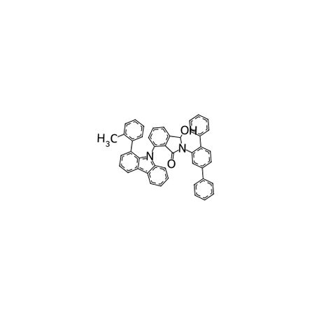 Cc1ccccc1-c1cccc2c3ccccc3n(-c3cccc4c3C(=O)N(c3cc(-c5ccccc5)ccc3-c3ccccc3)C4O)c12